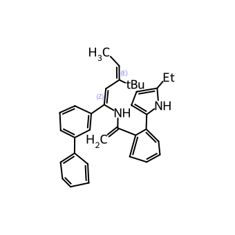 C=C(N/C(=C\C(=C/C)C(C)(C)C)c1cccc(-c2ccccc2)c1)c1ccccc1-c1ccc(CC)[nH]1